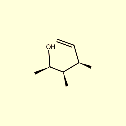 C=C[C@@H](C)[C@@H](C)[C@@H](C)O